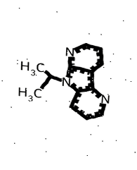 CC(C)n1c2cccnc2c2cccnc21